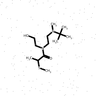 CSC(C)C(=O)N(CCO)CCN(C)C(C)(C)C